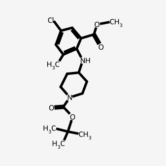 COC(=O)c1cc(Cl)cc(C)c1NC1CCN(C(=O)OC(C)(C)C)CC1